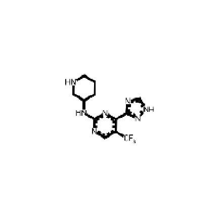 FC(F)(F)c1cnc(NC2CCCNC2)nc1-c1nc[nH]n1